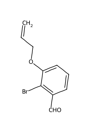 C=CCOc1cccc(C=O)c1Br